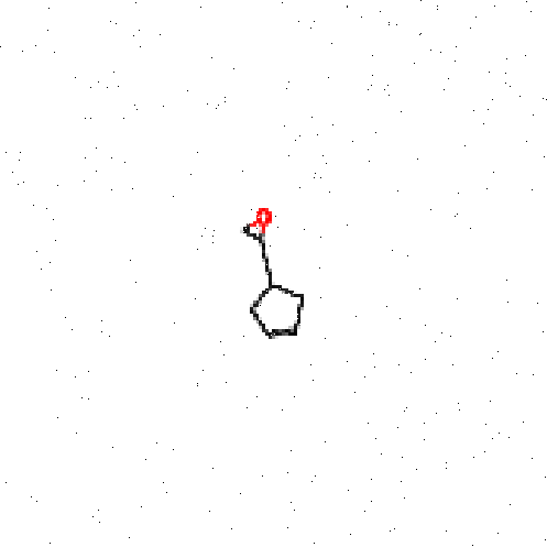 C1=CCC(C2CO2)C1